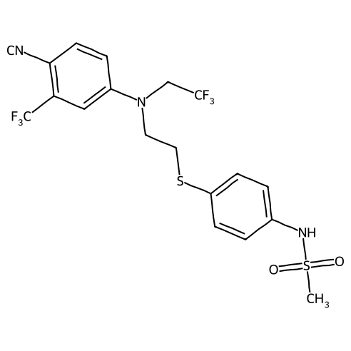 [C-]#[N+]c1ccc(N(CCSc2ccc(NS(C)(=O)=O)cc2)CC(F)(F)F)cc1C(F)(F)F